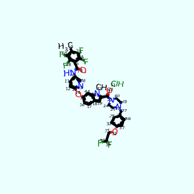 Cc1c(F)c(F)c(C(=O)Nc2ccc(Oc3ccc4cc(C(=O)N5CCN(Cc6ccc(OCC(F)F)cc6)CC5)n(C)c4c3)nc2)c(F)c1F.Cl